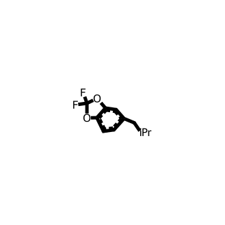 CC(C)Cc1ccc2c(c1)OC(F)(F)O2